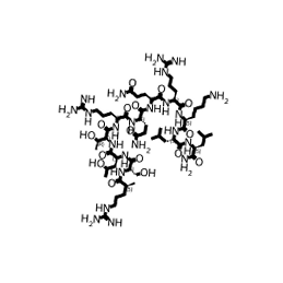 CC(C)C[C@H](NC(=O)[C@H](CC(C)C)NC(=O)[C@H](CCCCN)NC(=O)[C@H](CCCNC(=N)N)NC(=O)[C@H](CCC(N)=O)NC(=O)[C@H](CCC(N)=O)NC(=O)[C@H](CCCNC(=N)N)NC(=O)[C@@H](NC(=O)[C@H](CC(C)O)NC(=O)[C@H](CO)NC(=O)[C@@H](C)CCCNC(=N)N)[C@@H](C)O)C(N)=O